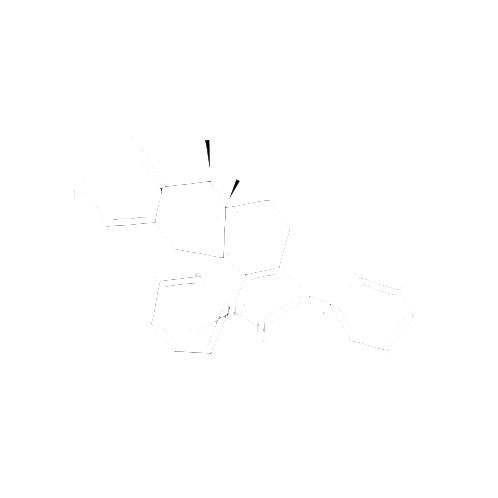 C[C@@H]1C(=O)C(=CO)C[C@]2(c3ccccc3)c3c(c(-c4ccccc4)nn3C)CC[C@@H]12